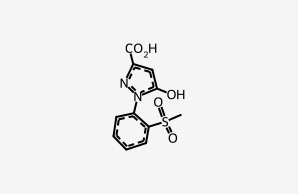 CS(=O)(=O)c1ccccc1-n1nc(C(=O)O)cc1O